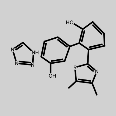 Cc1nc(-c2cccc(O)c2-c2cccc(O)c2)sc1C.c1nnn[nH]1